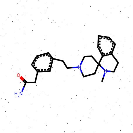 CN1CCc2ccccc2C12CCN(CCc1cccc(CC(N)=O)c1)CC2